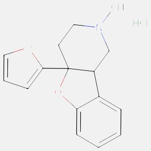 CN1CCC2(c3ccco3)Oc3ccccc3C2C1.Cl